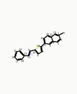 Cc1ccc2cc(-c3ccc(/C=C/c4ccccc4)s3)ccc2c1